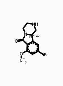 CC(C)c1cc(OC(F)(F)F)c2c(c1)[C@@H]1CNCCN1C2=O